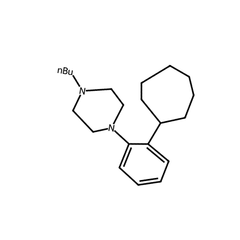 CCCCN1CCN(c2ccccc2C2CCCCCC2)CC1